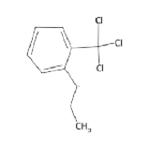 CC[CH]c1ccccc1C(Cl)(Cl)Cl